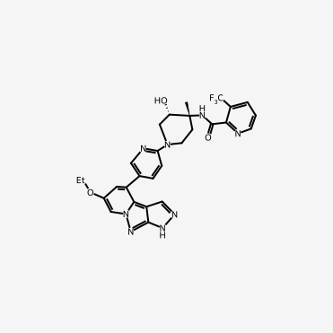 CCOc1cc(-c2ccc(N3CC[C@@](C)(NC(=O)c4ncccc4C(F)(F)F)[C@@H](O)C3)nc2)c2c3cn[nH]c3nn2c1